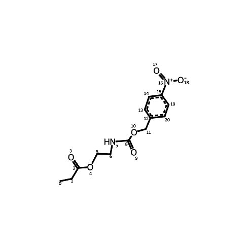 CCC(=O)OCCNC(=O)OCc1ccc([N+](=O)[O-])cc1